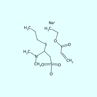 C=CC(=O)OCC.CCCSC(CS(=O)(=O)[O-])N(C)C.[Na+]